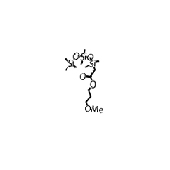 COCCCOC(=O)C[Si](C)(C)O[Si](C)(C)O[Si](C)(C)C